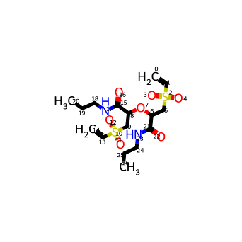 C=CS(=O)(=O)CC(OC(CS(=O)(=O)C=C)C(=O)NCCC)C(=O)NCCC